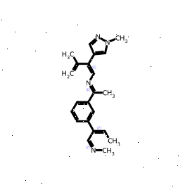 C=C(C)/C(=C\N=C(/C)c1cccc(C(/C=N\C)=C/C)c1)c1cnn(C)c1